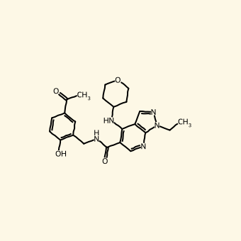 CCn1ncc2c(NC3CCOCC3)c(C(=O)NCc3cc(C(C)=O)ccc3O)cnc21